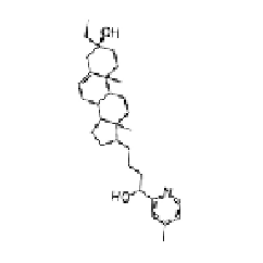 CC[C@]1(O)CCC2(C)C(=CCC3C2CCC2(C)C(CCCC(O)c4cc(C)ccn4)CCC32)C1